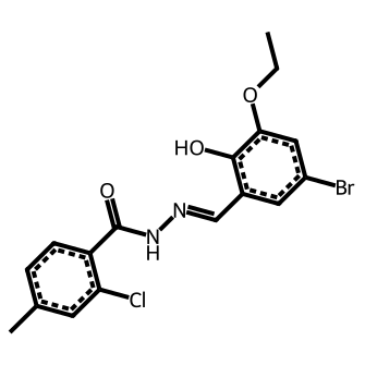 CCOc1cc(Br)cc(C=NNC(=O)c2ccc(C)cc2Cl)c1O